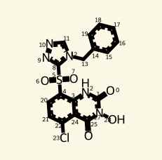 O=c1[nH]c2c(S(=O)(=O)c3nncn3Cc3ccccc3)ccc(Cl)c2c(=O)n1O